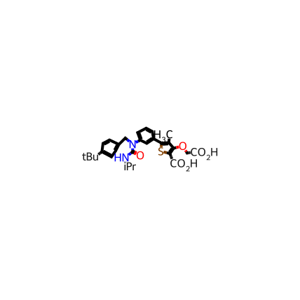 Cc1c(-c2cccc(N(Cc3ccc(C(C)(C)C)cc3)C(=O)NC(C)C)c2)sc(C(=O)O)c1OCC(=O)O